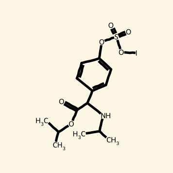 CC(C)NC(C(=O)OC(C)C)c1ccc(OS(=O)(=O)OI)cc1